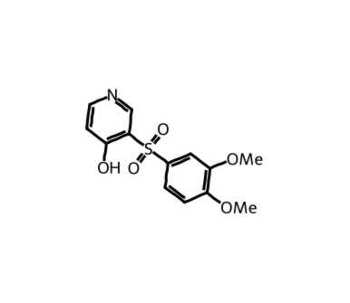 COc1ccc(S(=O)(=O)c2cnccc2O)cc1OC